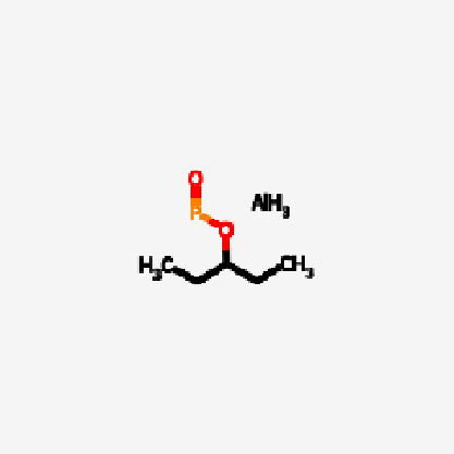 CCC(CC)OP=O.[AlH3]